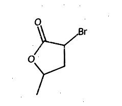 CC1CC(Br)C(=O)O1